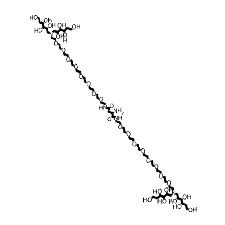 NC(CC(=O)NCCOCCOCCOCCOCCOCCOCCOCCOCCN(CC(O)C(O)C(O)CCO)CC(O)C(O)C(O)CCO)C(=O)NCCOCCOCCOCCOCCOCCOCCOCCOCCN(CC(O)C(O)C(O)CCO)CC(O)C(O)C(O)CCO